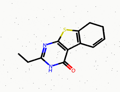 CCc1nc2sc3c(c2c(=O)[nH]1)C=CCC3